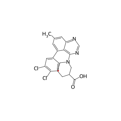 Cc1cc(-c2ccc(Cl)c(Cl)c2)c2c(N3CCCC(C(=O)O)C3)ncnc2c1